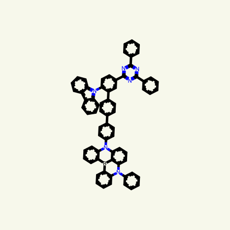 c1ccc(-c2nc(-c3ccccc3)nc(-c3ccc(-n4c5ccccc5c5ccccc54)c(-c4ccc(-c5ccc(N6c7ccccc7B7c8ccccc8N(c8ccccc8)c8cccc6c87)cc5)cc4)c3)n2)cc1